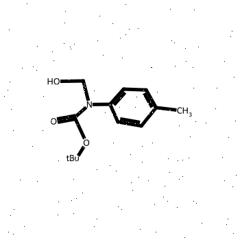 Cc1ccc(N(CO)C(=O)OC(C)(C)C)cc1